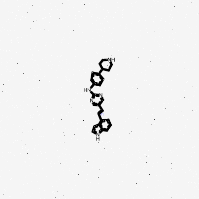 C(=C\c1cccc2[nH]ccc12)/c1cnc(Nc2ccc(C3CCNCC3)cc2)nc1